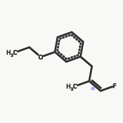 CCOc1cccc(C/C(C)=C\F)c1